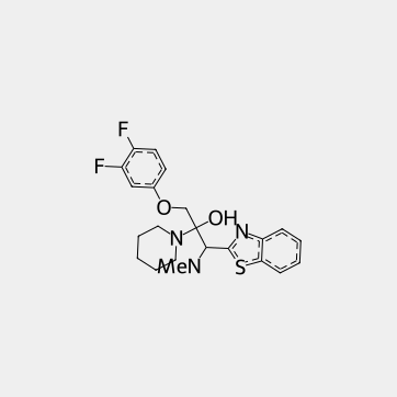 CNC(c1nc2ccccc2s1)C(O)(COc1ccc(F)c(F)c1)N1CCCCC1